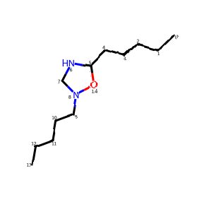 CCCCCC1NCN(CCCCC)O1